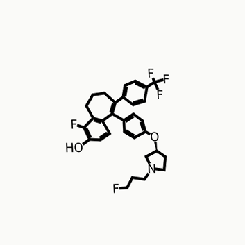 Oc1ccc2c(c1F)CCCC(c1ccc(C(F)(F)F)cc1)=C2c1ccc(O[C@H]2CCN(CCCF)C2)cc1